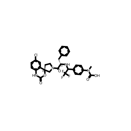 CN(C(=O)O)c1ccc(C(N[C@@H](Cc2ccccc2)C(=O)N2CC[C@@]3(C2)OC(=O)Nc2ccc(Cl)cc23)C(F)(F)F)cc1